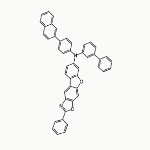 c1ccc(-c2cccc(N(c3ccc(-c4ccc5ccccc5c4)cc3)c3ccc4c(c3)oc3cc5oc(-c6ccccc6)nc5cc34)c2)cc1